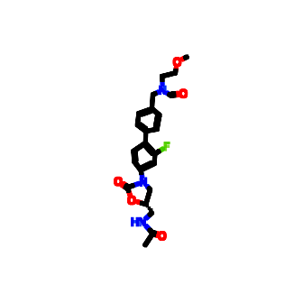 COCCN(C=O)Cc1ccc(-c2ccc(N3C[C@H](CNC(C)=O)OC3=O)cc2F)cc1